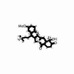 CC[C@@]1(O)C(=O)CCc2c1cc1n(c2=O)Cc2c-1nc1ccc(OC)cc1c2CC[Si](C)(C)C